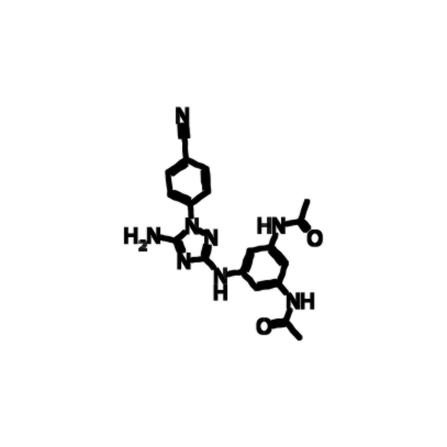 CC(=O)Nc1cc(NC(C)=O)cc(Nc2nc(N)n(-c3ccc(C#N)cc3)n2)c1